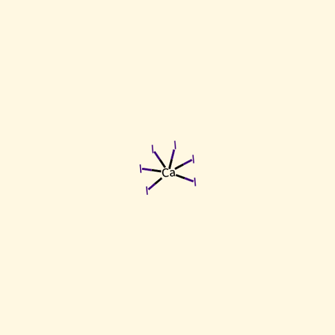 [I][Ca]([I])([I])([I])([I])[I]